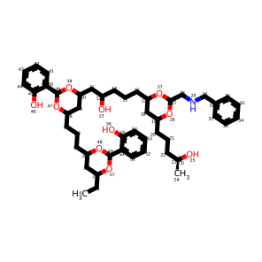 CCC1CC(CCCC2CC(CC(O)CCCC3CC(CCC[C@H](C)O)OC(CNCc4ccccc4)O3)OC(c3ccccc3O)O2)OC(c2ccccc2O)O1